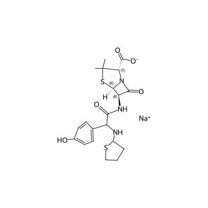 CC1(C)S[C@@H]2[C@H](NC(=O)C(NC3CCCS3)c3ccc(O)cc3)C(=O)N2[C@H]1C(=O)[O-].[Na+]